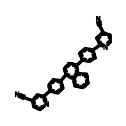 N#Cc1ccnc(-c2ccc(-c3ccc(-c4ccc(-c5cc(C#N)ccn5)cc4)c4ccccc34)cc2)c1